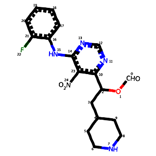 O=COC(CC1CCNCC1)c1ncnc(Nc2ccccc2F)c1[N+](=O)[O-]